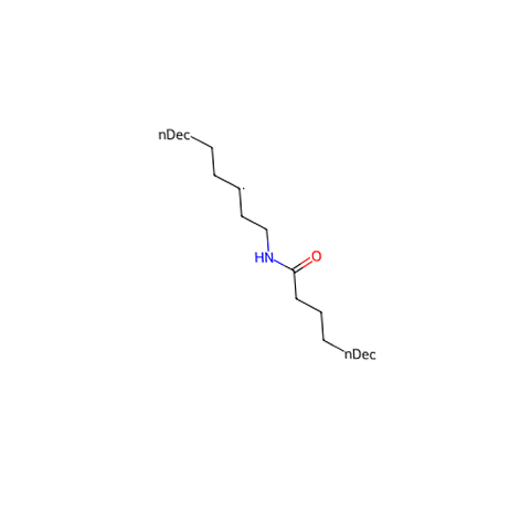 CCCCCCCCCCCC[CH]CCNC(=O)CCCCCCCCCCCCC